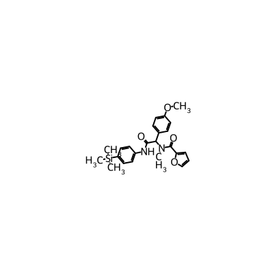 COc1ccc(C(C(=O)Nc2ccc([Si](C)(C)C)cc2)N(C)C(=O)c2ccco2)cc1